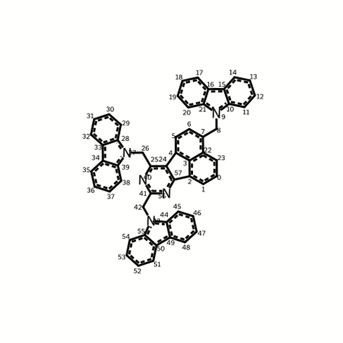 c1cc2c3c(ccc(Cn4c5ccccc5c5ccccc54)c3c1)-c1c(Cn3c4ccccc4c4ccccc43)nc(Cn3c4ccccc4c4ccccc43)nc1-2